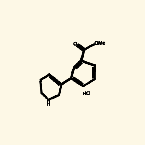 COC(=O)c1cccc(C2=CCCNC2)c1.Cl